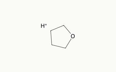 C1CCOC1.[H+]